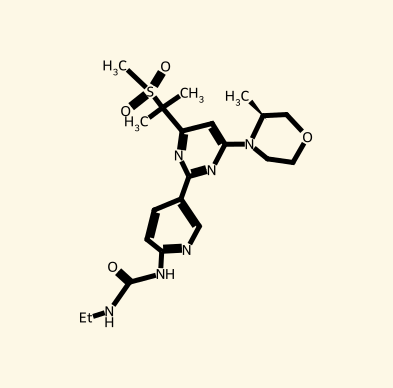 CCNC(=O)Nc1ccc(-c2nc(N3CCOC[C@@H]3C)cc(C(C)(C)S(C)(=O)=O)n2)cn1